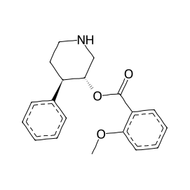 COc1ccccc1C(=O)O[C@H]1CNCC[C@@H]1c1ccccc1